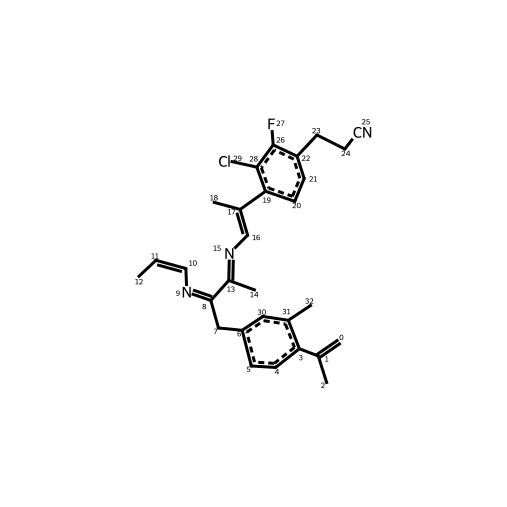 C=C(C)c1ccc(CC(=N/C=C\C)/C(C)=N/C=C(\C)c2ccc(CCC#N)c(F)c2Cl)cc1C